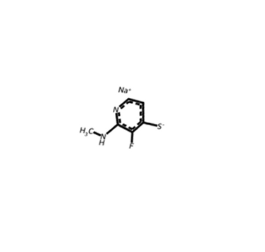 CNc1nccc([S-])c1F.[Na+]